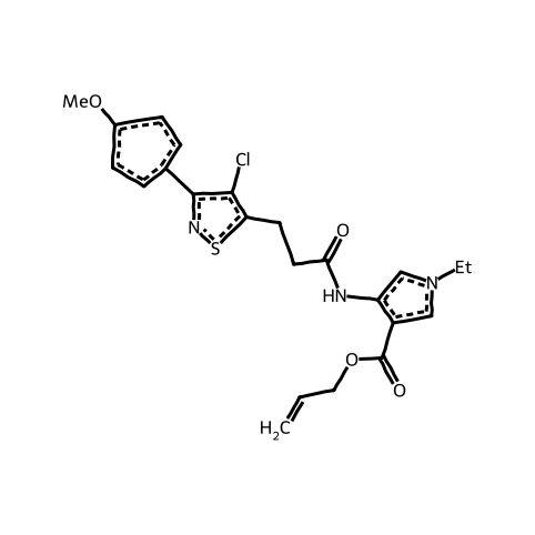 C=CCOC(=O)c1cn(CC)cc1NC(=O)CCc1snc(-c2ccc(OC)cc2)c1Cl